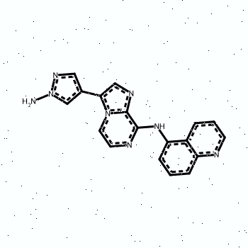 Nn1cc(-c2cnc3c(Nc4cccc5ncccc45)nccn23)cn1